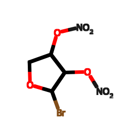 O=[N+]([O-])OC1COC(Br)C1O[N+](=O)[O-]